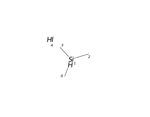 C[SiH](C)C.I